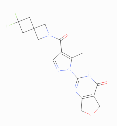 Cc1c(C(=O)N2CC3(C2)CC(F)(F)C3)cnn1-c1nc2c(c(=O)[nH]1)COC2